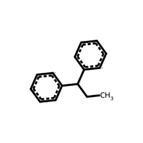 CCC(c1[c]cccc1)c1[c]cccc1